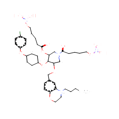 COCCCN1CCOc2ccc(COC3CN(C(=O)CCCCON(O)O)CC(OC(=O)CCCCON(O)O)C3OC3CCC(Oc4ccc(Cl)cc4)CC3)cc21